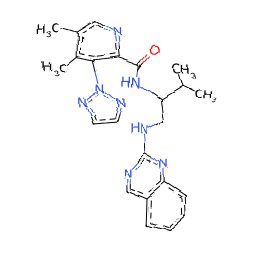 Cc1cnc(C(=O)NC(CNc2ncc3ccccc3n2)C(C)C)c(-n2nccn2)c1C